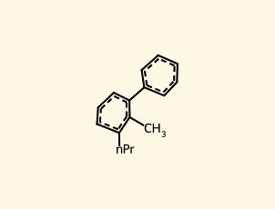 CCCc1cccc(-c2ccccc2)c1C